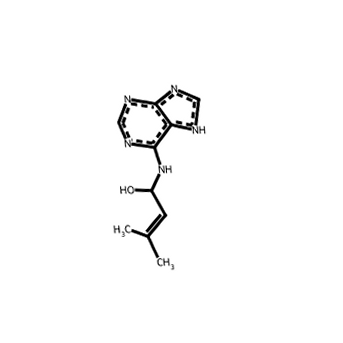 CC(C)=CC(O)Nc1ncnc2nc[nH]c12